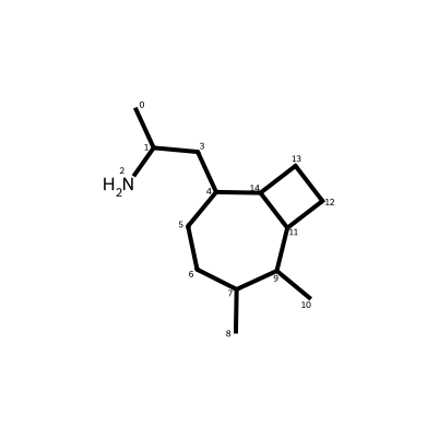 CC(N)CC1CCC(C)C(C)C2CCC12